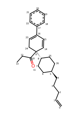 C=CCCC[C@H]1CC[C@H](C2(C(=O)CC)C=CC(c3ccccc3)=CC2)CC1